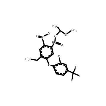 CCc1cc([N+](=O)[O-])c([PH](=O)OC(C)SC)cc1Oc1ccc(C(F)(F)F)cc1Cl